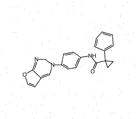 O=C(Nc1ccc(N2C=c3ccoc3=NC2)cc1)C1(c2ccccc2)CC1